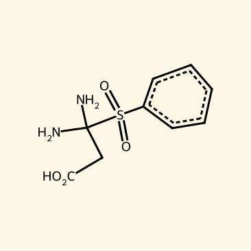 NC(N)(CC(=O)O)S(=O)(=O)c1ccccc1